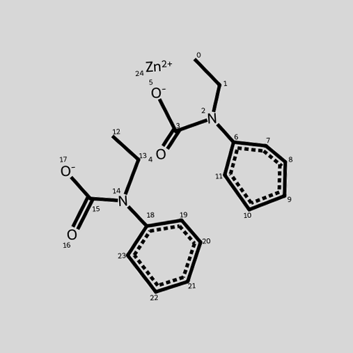 CCN(C(=O)[O-])c1ccccc1.CCN(C(=O)[O-])c1ccccc1.[Zn+2]